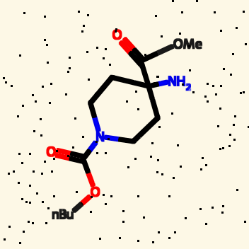 CCCCOC(=O)N1CCC(N)(C(=O)OC)CC1